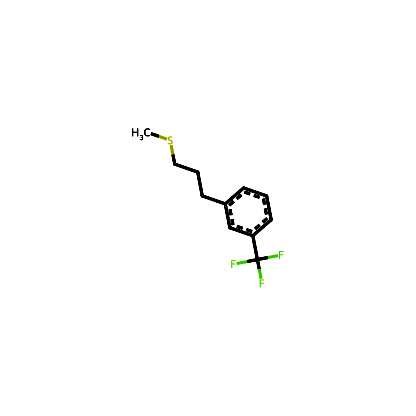 CSCCCc1cccc(C(F)(F)F)c1